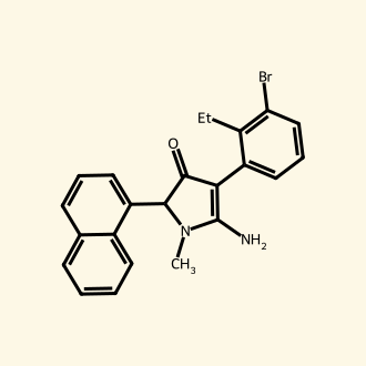 CCc1c(Br)cccc1C1=C(N)N(C)C(c2cccc3ccccc23)C1=O